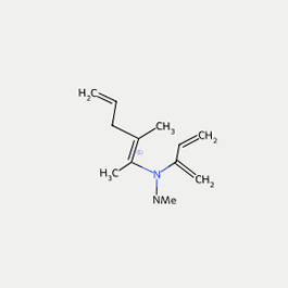 C=CC/C(C)=C(\C)N(NC)C(=C)C=C